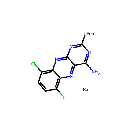 CCCCCc1nc(N)c2nc3c(Cl)ccc(Cl)c3nc2n1.[Ru]